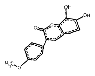 COc1ccc(-c2cc3ccc(O)c(O)c3oc2=O)cc1